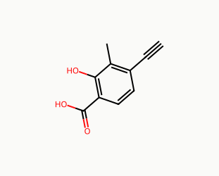 C#Cc1ccc(C(=O)O)c(O)c1C